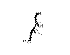 CCCCCCCCCC(CCSCCC(CCCCCCCCC)C(Br)CC)C(Br)CC